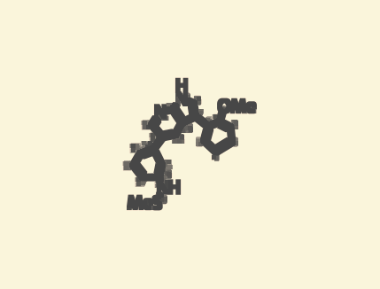 COc1ccccc1-c1c[nH]c2ncc(-c3cccc(NSC)c3)cc12